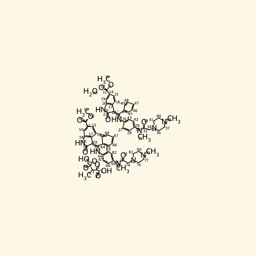 CC(S(=O)(=O)O)S(=O)(=O)O.COC(=O)c1ccc2c(c1)NC(=O)/C2=C(\Nc1ccc(N(C)C(=O)CN2CCN(C)CC2)cc1)c1ccccc1.COC(=O)c1ccc2c(c1)NC(=O)/C2=C(\Nc1ccc(N(C)C(=O)CN2CCN(C)CC2)cc1)c1ccccc1.O